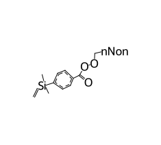 [CH2]CCCCCCCCCOOC(=O)c1ccc([Si](C)(C)C=C)cc1